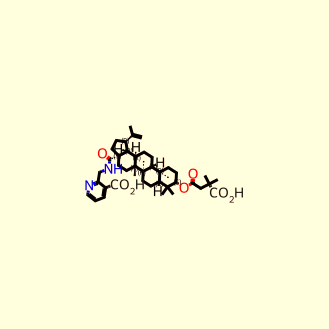 C=C(C)[C@@H]1CC[C@]2(C(=O)NCc3ncccc3C(=O)O)CC[C@]3(C)[C@H](CC[C@@H]4[C@@]5(C)CC[C@H](OC(=O)CC(C)(C)C(=O)O)C(C)(C)[C@@H]5CC[C@]43C)[C@@H]12